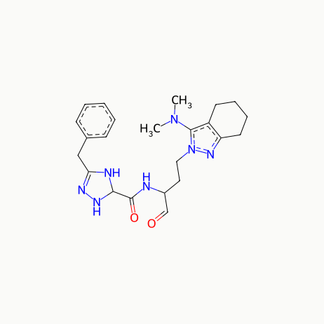 CN(C)c1c2c(nn1CCC(C=O)NC(=O)C1NN=C(Cc3ccccc3)N1)CCCC2